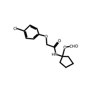 O=COC1(NC(=O)COc2ccc(Cl)cc2)CCCC1